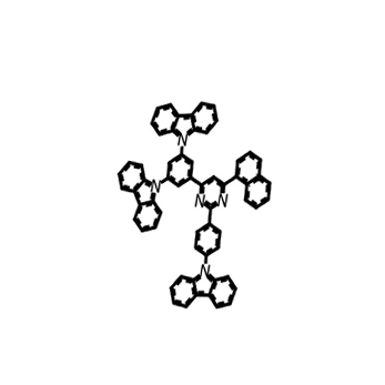 c1ccc2c(-c3cc(-c4cc(-n5c6ccccc6c6ccccc65)cc(-n5c6ccccc6c6ccccc65)c4)nc(-c4ccc(-n5c6ccccc6c6ccccc65)cc4)n3)cccc2c1